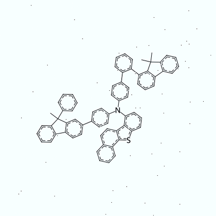 CC1(C)c2ccccc2-c2cccc(-c3ccccc3-c3ccc(N(c4ccc(-c5ccc6c(c5)C(C)(c5ccccc5)c5ccccc5-6)cc4)c4cccc5sc6c7ccccc7ccc6c45)cc3)c21